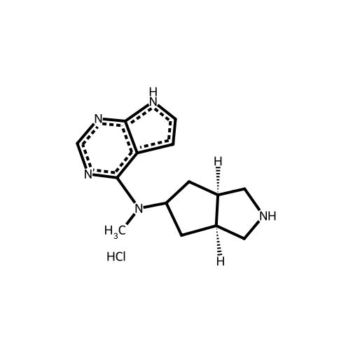 CN(c1ncnc2[nH]ccc12)C1C[C@H]2CNC[C@H]2C1.Cl